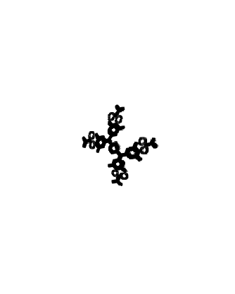 C=C(C)C(=O)Oc1c(C)cc(C(c2ccc(C(c3cc(C)c(OC(=O)C(=C)C)c(C)c3)c3cc(C)c(OC(=O)C(=C)C)c(C)c3)cc2)c2cc(C)c(OC(=O)C(=C)C)c(C)c2)cc1C